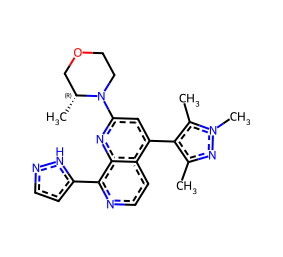 Cc1nn(C)c(C)c1-c1cc(N2CCOC[C@H]2C)nc2c(-c3ccn[nH]3)nccc12